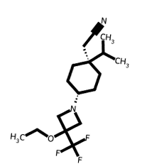 CCOC1(C(F)(F)F)CN([C@H]2CC[C@](CC#N)(C(C)C)CC2)C1